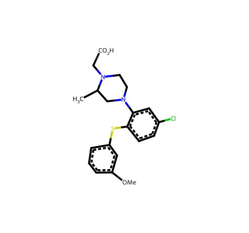 COc1cccc(Sc2ccc(Cl)cc2N2CCN(CC(=O)O)C(C)C2)c1